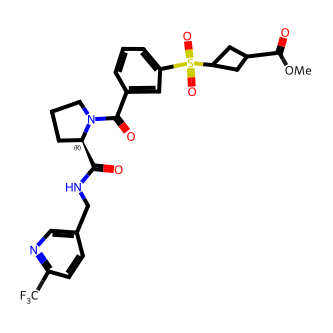 COC(=O)C1CC(S(=O)(=O)c2cccc(C(=O)N3CCC[C@@H]3C(=O)NCc3ccc(C(F)(F)F)nc3)c2)C1